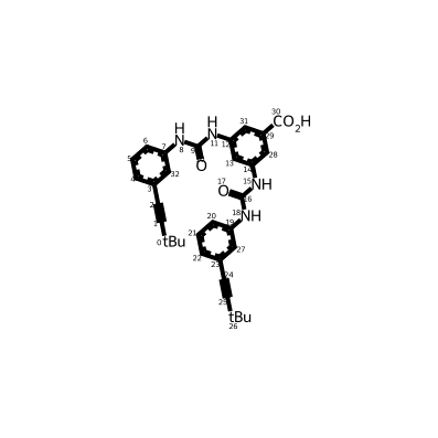 CC(C)(C)C#Cc1cccc(NC(=O)Nc2cc(NC(=O)Nc3cccc(C#CC(C)(C)C)c3)cc(C(=O)O)c2)c1